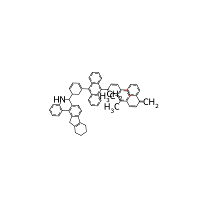 C=C(/C=C\c1ccc(/C=C\C(=C)c2c3ccccc3c(C3=CC=CC(C4Nc5ccccc5-c5c4ccc4c5CC5=C4CCCC5)C3)c3ccccc23)c(C)c1C)c1ccccc1